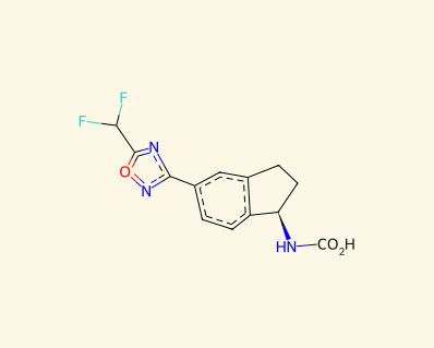 O=C(O)N[C@@H]1CCc2cc(-c3noc(C(F)F)n3)ccc21